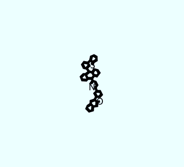 c1ccc2cc3c(cc2c1)oc1ccc(-c2ccc(-c4c5ccccc5c(-c5cccc6c5sc5ccccc56)c5ccccc45)cn2)cc13